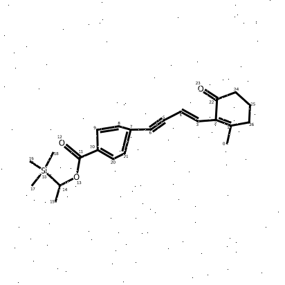 CC1=C(C=CC#Cc2ccc(C(=O)OC(C)[Si](C)(C)C)cc2)C(=O)CCC1